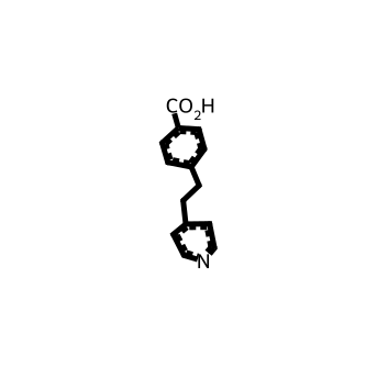 O=C(O)c1ccc(CCc2ccncc2)cc1